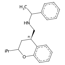 CC(NC[C@@H]1CC(C(C)C)Oc2ccccc21)c1ccccc1